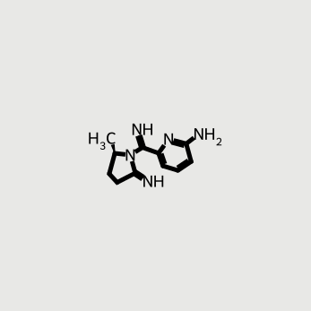 C[C@@H]1CCC(=N)N1C(=N)c1cccc(N)n1